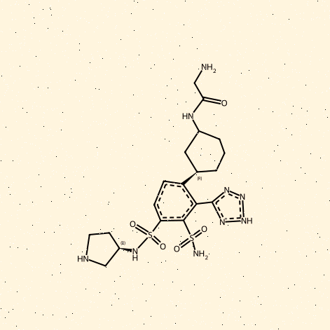 NCC(=O)NC1CCC[C@@H](c2ccc(S(=O)(=O)N[C@@H]3CCNC3)c(S(N)(=O)=O)c2-c2nn[nH]n2)C1